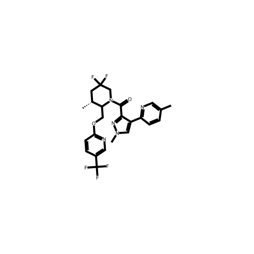 Cc1ccc(-c2cn(C)nc2C(=O)N2CC(F)(F)C[C@@H](C)C2COc2ccc(C(F)(F)F)cn2)nc1